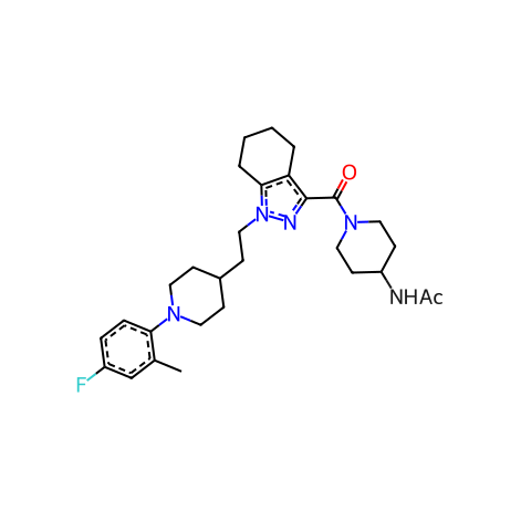 CC(=O)NC1CCN(C(=O)c2nn(CCC3CCN(c4ccc(F)cc4C)CC3)c3c2CCCC3)CC1